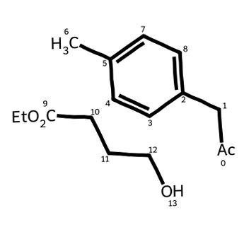 CC(=O)Cc1ccc(C)cc1.CCOC(=O)CCCO